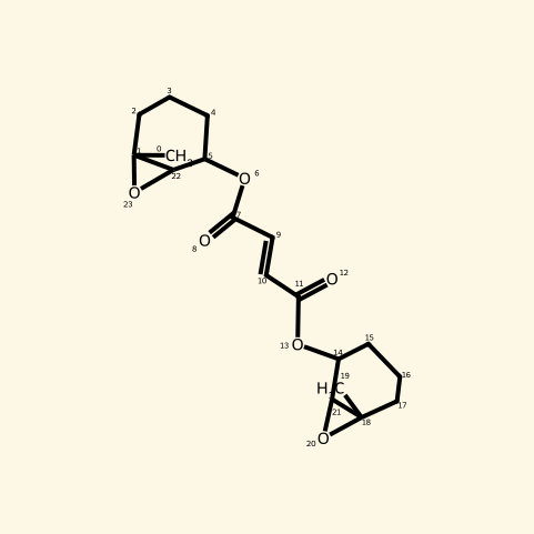 CC12CCCC(OC(=O)C=CC(=O)OC3CCCC4(C)OC34)C1O2